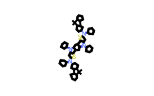 CC1(C)c2ccccc2-c2cc(N(c3ccccc3)c3cc4c(s3)c3cc5c(cc3n4-c3ccccc3)c3sc(N(c4ccccc4)c4ccc6c(c4)-c4ccccc4C6(C)C)cc3n5-c3ccccc3)ccc21